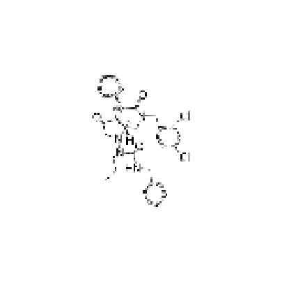 CCCN(C(=O)NCc1ccccc1)N1CC(=O)N2[C@@H](c3ccccc3)C(=O)N(Cc3ccc(Cl)cc3Cl)C[C@@H]21